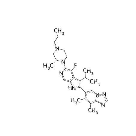 CCCN1CCN(c2ncc3[nH]c(-c4cn5ncnc5c(C)c4C)c(C(C)C)c3c2F)[C@H](C)C1